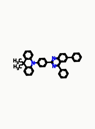 CC1(C)c2ccccc2N(c2ccc(-c3nc(-c4ccccc4)c4cc(-c5ccccc5)ccc4n3)cc2)c2ccccc21